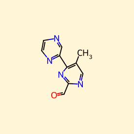 Cc1cnc(C=O)nc1-c1cnccn1